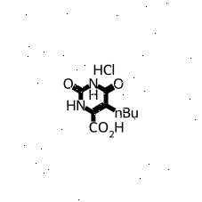 CCCCc1c(C(=O)O)[nH]c(=O)[nH]c1=O.Cl